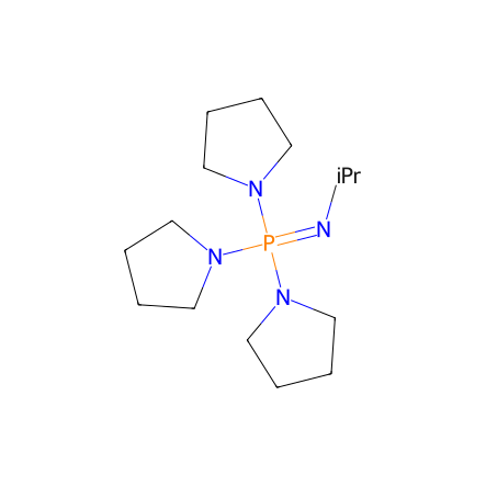 CC(C)N=P(N1CCCC1)(N1CCCC1)N1CCCC1